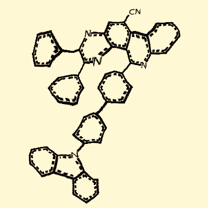 N#Cc1cc2nc(-c3ccccc3)c(-c3ccccc3)nc2c2c(-c3ccc(-c4ccc(-n5c6ccccc6c6ccccc65)cc4)cc3)nc3ccccc3c12